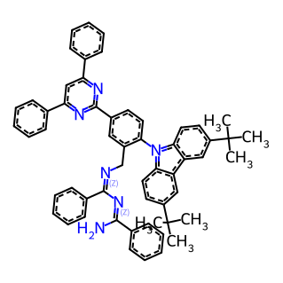 CC(C)(C)c1ccc2c(c1)c1cc(C(C)(C)C)ccc1n2-c1ccc(-c2nc(-c3ccccc3)cc(-c3ccccc3)n2)cc1C/N=C(\N=C(/N)c1ccccc1)c1ccccc1